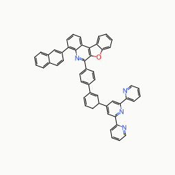 C1=CC(c2ccc(-c3nc4c(-c5ccc6ccccc6c5)cccc4c4c3oc3ccccc34)cc2)=CC(c2cc(-c3ccccn3)nc(-c3ccccn3)c2)C1